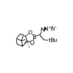 CC(C)(C)CC(N=[N+]=[N-])B1OC2CC3CC(C3(C)C)[C@]2(C)O1